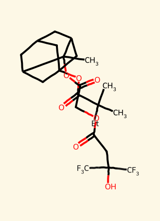 CCC(C)(C)C(=O)OC12CC3CC(C1)C(C)(OC(=O)COC(=O)CC(O)(C(F)(F)F)C(F)(F)F)C(C3)C2